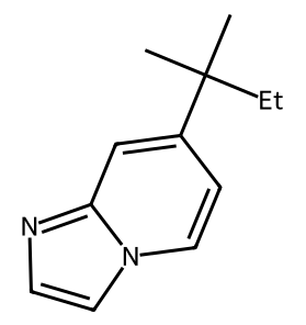 CCC(C)(C)c1ccn2ccnc2c1